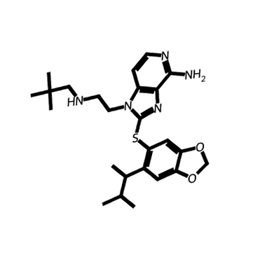 CC(C)C(C)c1cc2c(cc1Sc1nc3c(N)nccc3n1CCNCC(C)(C)C)OCO2